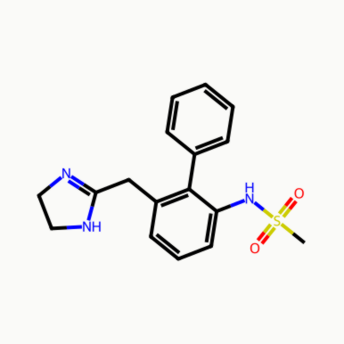 CS(=O)(=O)Nc1cccc(CC2=NCCN2)c1-c1ccccc1